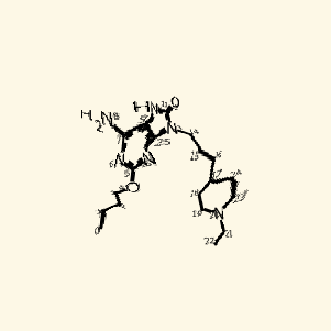 CCCCOc1nc(N)c2[nH]c(=O)n(CCCC3CCN(CC)CC3)c2n1